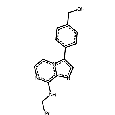 CC(C)CNc1nccn2c(-c3ccc(CO)cc3)cnc12